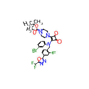 CC(C)(C)OC(=O)N1CCN(c2c(N(Cc3ccc(-c4nnc(C(F)F)o4)cc3F)c3cccc(Br)c3)c(=O)c2=O)CC1